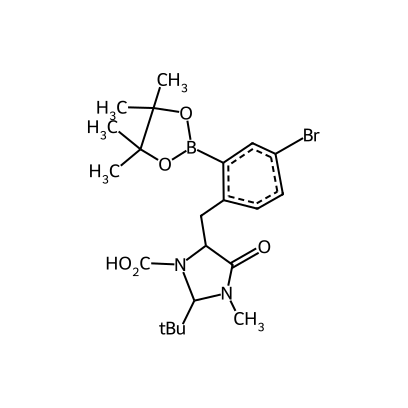 CN1C(=O)C(Cc2ccc(Br)cc2B2OC(C)(C)C(C)(C)O2)N(C(=O)O)C1C(C)(C)C